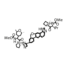 COC(=O)N[C@H](C(=O)N1[C@@H](C)CC[C@H]1c1nc2ccc3cc4c(cc3c2[nH]1)OCc1cc(-c2cnc([C@@H]3CCCN3C(=O)[C@@H](NC(=O)OC)C3C[C@@H](C)O[C@H](C)C3)[nH]2)ccc1-4)C(C)C